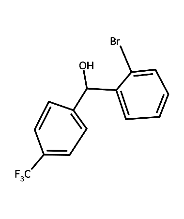 OC(c1ccc(C(F)(F)F)cc1)c1ccccc1Br